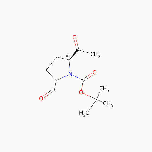 CC(=O)[C@@H]1CCC(C=O)N1C(=O)OC(C)(C)C